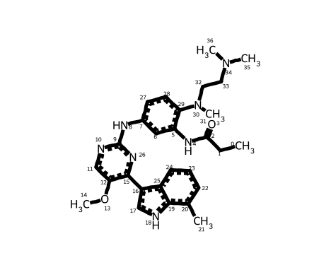 CCC(=O)Nc1cc(Nc2ncc(OC)c(-c3c[nH]c4c(C)cccc34)n2)ccc1N(C)CCN(C)C